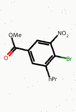 CCCc1cc(C(=O)OC)cc([N+](=O)[O-])c1Br